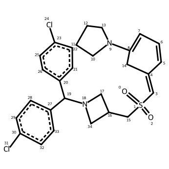 O=S(=O)(C=C1C=CC=C(N2CCCC2)C1)CC1CN(C(c2ccc(Cl)cc2)c2ccc(Cl)cc2)C1